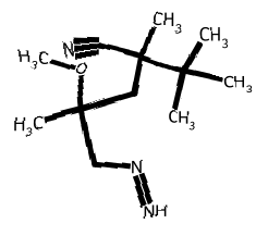 COC(C)(CN=N)CC(C)(C#N)C(C)(C)C